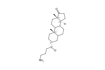 C[C@]12CC[C@@H]([S+]([O-])CCCN)CC1CCC1C2CC[C@]2(C)C(=O)CC[C@@H]12